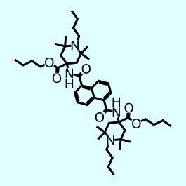 CCCCOC(=O)C1(NC(=O)c2cccc3c(C(=O)NC4(C(=O)OCCCC)CC(C)(C)N(CCCC)C(C)(C)C4)cccc23)CC(C)(C)N(CCCC)C(C)(C)C1